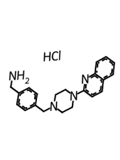 Cl.NCc1ccc(CN2CCN(c3ccc4ccccc4n3)CC2)cc1